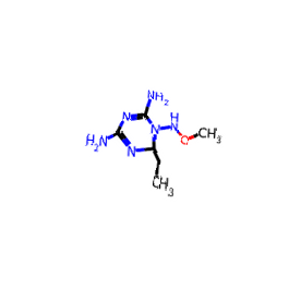 CCC1N=C(N)N=C(N)N1NOC